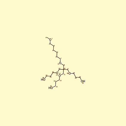 COCCCCCCOCC(COCCCO)(COCCCO)COCCCO